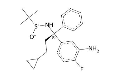 CC(C)(C)[S+]([O-])N[C@](CCC1CC1)(c1ccccc1)c1ccc(F)c(N)c1